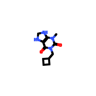 Cn1c2c(c(=O)n(CC3CCC3)c1=O)NCN2